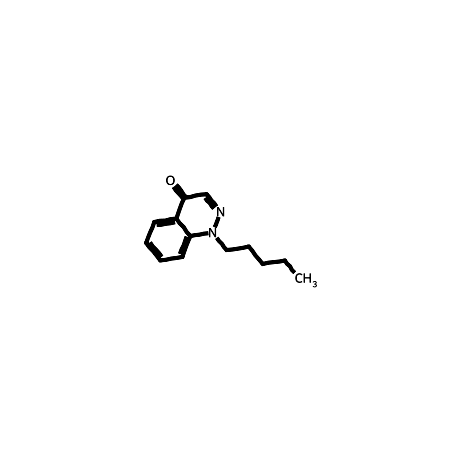 CCCCCn1ncc(=O)c2ccccc21